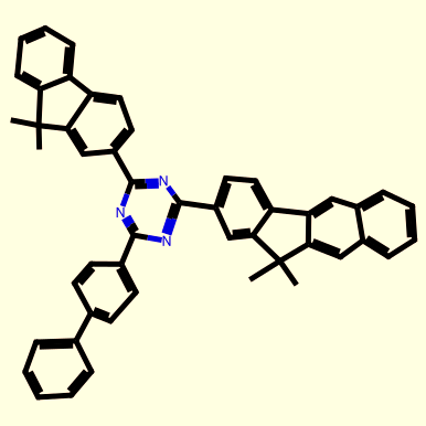 CC1(C)c2ccccc2-c2ccc(-c3nc(-c4ccc(-c5ccccc5)cc4)nc(-c4ccc5c(c4)C(C)(C)c4cc6ccccc6cc4-5)n3)cc21